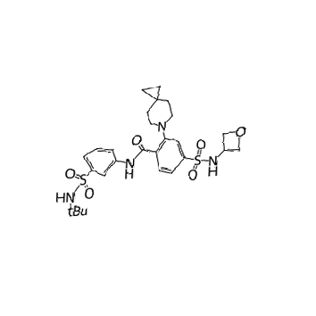 CC(C)(C)NS(=O)(=O)c1cccc(NC(=O)c2ccc(S(=O)(=O)NC3COC3)cc2N2CCC3(CC2)CC3)c1